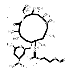 CC[C@H]1OC(=O)[C@H](C)[C@@H](O)C[C@@H](O[C@@H]2O[C@H](C)C[C@H](N(C)C)[C@H]2OC(=O)OCCSN=O)[C@](C)(O)C[C@@H](C)CN(C)[C@H](C)[C@@H](O)[C@]1(C)O